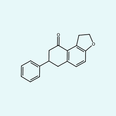 O=C1CC(c2ccccc2)Cc2ccc3c(c21)CCO3